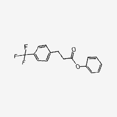 O=C(CCc1ccc(C(F)(F)F)cc1)Oc1ccccc1